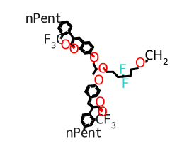 C=COCCCC(F)(F)CCCOC(COc1ccc2cc(-c3ccc(CCCCC)cc3C(F)(F)F)c(=O)oc2c1)COc1ccc2cc(-c3ccc(CCCCC)cc3C(F)(F)F)c(=O)oc2c1